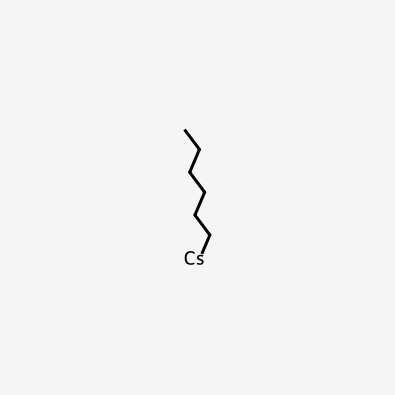 CCCCC[CH2][Cs]